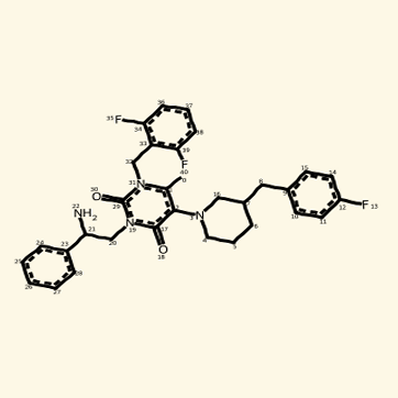 Cc1c(N2CCCC(Cc3ccc(F)cc3)C2)c(=O)n(CC(N)c2ccccc2)c(=O)n1Cc1c(F)cccc1F